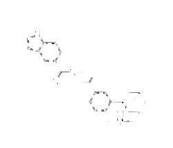 COc1ccc(C(=O)ONC(=N)c2ccc3[nH]ccc3c2)cc1C12CC3CC(CC(C3)C1)C2